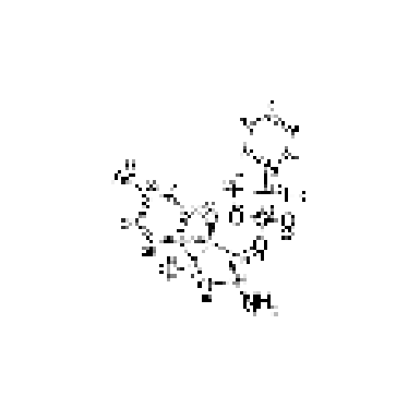 [2H]C([2H])(c1ccccc1)S(=O)(=O)OC1=C(N)O[C@@]([2H])(c2ccc(C(C)=O)cc2)C1=O